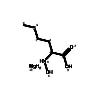 CSCCC(NO)C(=O)O.[MgH2]